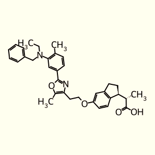 CCN(Cc1ccccc1)c1cc(-c2nc(CCOc3ccc4c(c3)CC[C@H]4[C@H](C)C(=O)O)c(C)o2)ccc1C